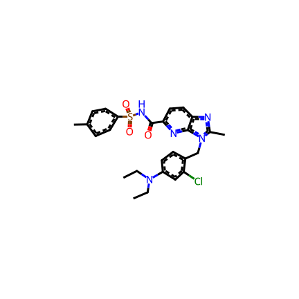 CCN(CC)c1ccc(Cn2c(C)nc3ccc(C(=O)NS(=O)(=O)c4ccc(C)cc4)nc32)c(Cl)c1